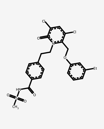 CCc1cccc(OCc2c(Cl)cc(Cl)c(=O)n2CCc2ccc(C(=O)NS(C)(=O)=O)cc2)c1